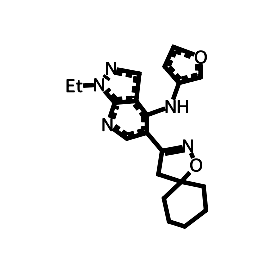 CCn1ncc2c(Nc3ccoc3)c(C3=NOC4(CCCCC4)C3)cnc21